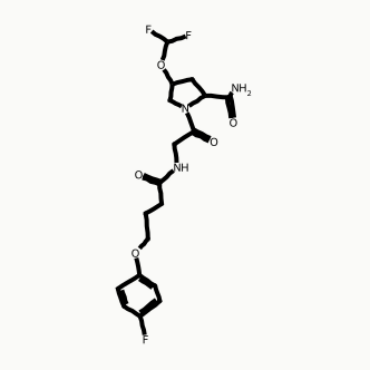 NC(=O)C1CC(OC(F)F)CN1C(=O)CNC(=O)CCCOc1ccc(F)cc1